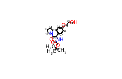 CC(C)(C)OC(=O)NC(C(=O)N1CCCC1)c1ccc(OCCO)cc1